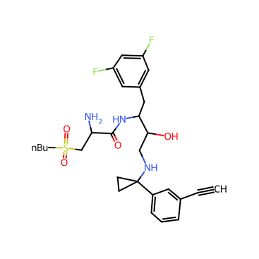 C#Cc1cccc(C2(NCC(O)C(Cc3cc(F)cc(F)c3)NC(=O)C(N)CS(=O)(=O)CCCC)CC2)c1